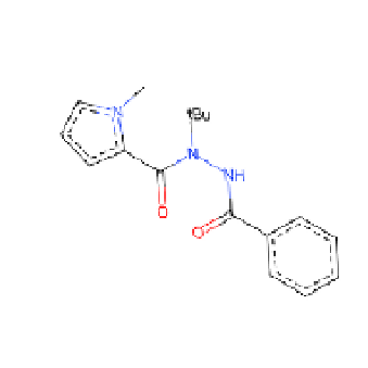 Cn1cccc1C(=O)N(NC(=O)c1ccccc1)C(C)(C)C